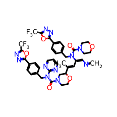 C=N/C=C(\C=C(/C)C1CN(C(=O)N(Cc2ccc(-c3nnc(C(F)(F)F)o3)cc2)c2ncccn2)CCO1)N(Cc1ccc(-c2nnc(C(F)(F)F)o2)cc1)C(=O)N1CCOCC1